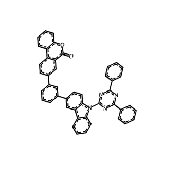 O=c1oc2ccccc2c2ccc(-c3cccc(-c4ccc5c(c4)c4ccccc4n5-c4nc(-c5ccccc5)nc(-c5ccccc5)n4)c3)cc12